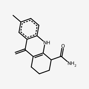 C=C1C2=C(Nc3ccc(C)cc31)C(C(N)=O)CCC2